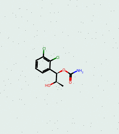 C[C@@H](O)[C@H](OC(N)=O)c1cccc(Cl)c1Cl